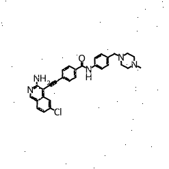 CN1CCN(Cc2ccc(NC(=O)c3ccc(C#Cc4c(N)ncc5ccc(Cl)cc45)cc3)cc2)CC1